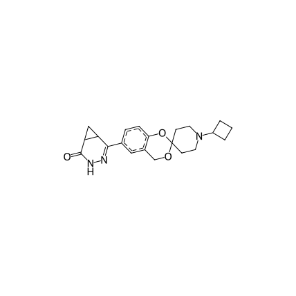 O=C1NN=C(c2ccc3c(c2)COC2(CCN(C4CCC4)CC2)O3)C2CC12